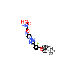 CC(C)(C)[Si](C)(C)OCc1cccc(-c2cnc(N3CCC(=NOCCNC(=O)O)CC3)nc2)c1F